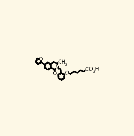 CC1Cc2cc(-c3ccco3)ccc2C(=O)N1Cc1ccccc1OCCCCCC(=O)O